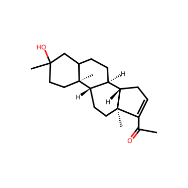 CC(=O)C1=CC[C@H]2[C@@H]3CCC4CC(C)(O)CC[C@]4(C)[C@H]3CC[C@]12C